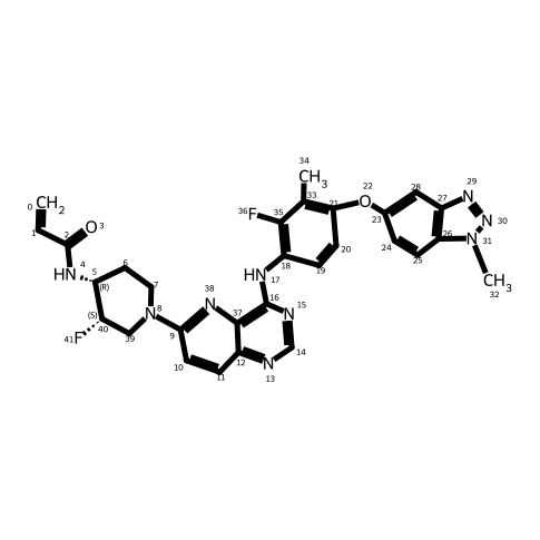 C=CC(=O)N[C@@H]1CCN(c2ccc3ncnc(Nc4ccc(Oc5ccc6c(c5)nnn6C)c(C)c4F)c3n2)C[C@@H]1F